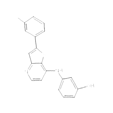 Cc1cccc(-c2cc3nccc(Nc4cccc(O)c4)c3s2)c1